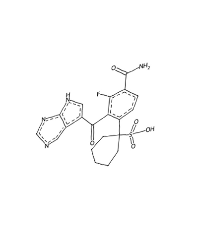 NC(=O)c1ccc(C2(S(=O)(=O)O)CCCCC2)c(C(=O)c2c[nH]c3ncncc23)c1F